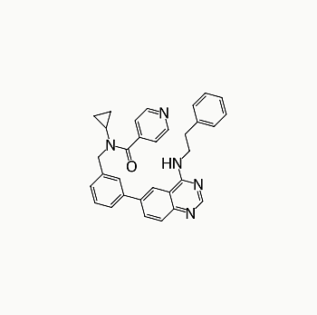 O=C(c1ccncc1)N(Cc1cccc(-c2ccc3ncnc(NCCc4ccccc4)c3c2)c1)C1CC1